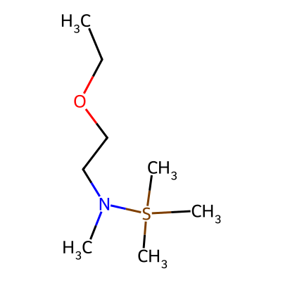 CCOCCN(C)S(C)(C)C